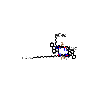 CCCCCCCCCCCCCCCCCCCCCCCCCCCCCCCCC1(C)c2ccccc2-c2cccc(-c3c4nc(c(Br)c5ccc([nH]5)c(-c5cccc6c5C(CCCCCCCCCCCCCCCC)(CCCCCCCCCCCCCCCC)c5ccccc5-6)c5nc(c(Br)c6ccc3[nH]6)C=C5)C=C4)c21